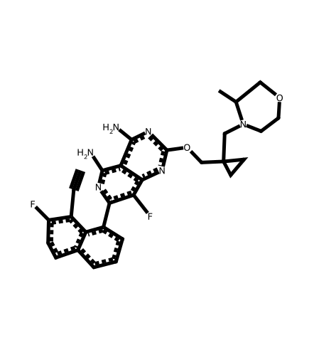 C#Cc1c(F)ccc2cccc(-c3nc(N)c4c(N)nc(OCC5(CN6CCOCC6C)CC5)nc4c3F)c12